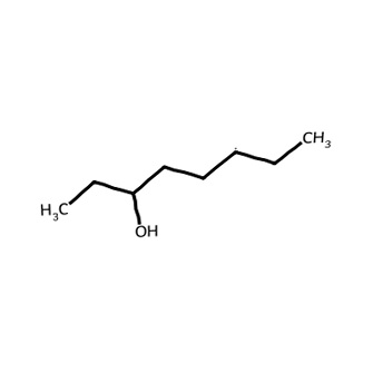 CC[CH]CCC(O)CC